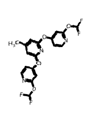 Cc1cc(Oc2ccnc(OC(F)F)c2)nc(Oc2ccnc(OC(F)F)c2)c1